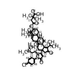 CC(C)C1=C2C3CC[C@@H]4C5(C)CC[C@H](OC(=O)CC(C)(C)C(=O)O)C(C)(C)[C@@H]5CC[C@@]4(C)[C@]3(C)CC[C@@]2(c2cc(=O)n(-c3ccc(Cl)cc3)n2CCN(C)C)CC1=O